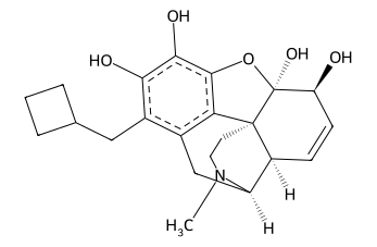 CN1CC[C@]23c4c5c(CC6CCC6)c(O)c(O)c4O[C@@]2(O)[C@@H](O)C=C[C@H]3[C@H]1C5